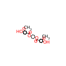 COc1cc(C(=O)O[C@H]2CC[C@@H](OC(=O)c3ccc(O)c(OC)c3)CC2)ccc1O